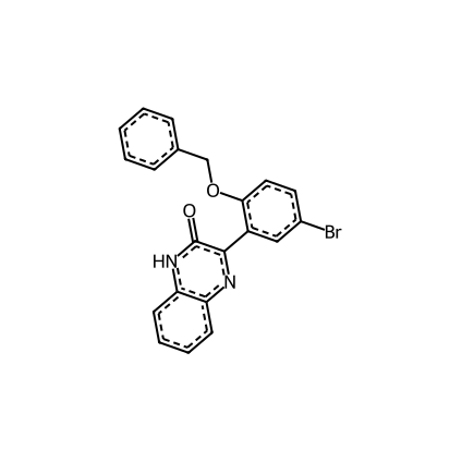 O=c1[nH]c2ccccc2nc1-c1cc(Br)ccc1OCc1ccccc1